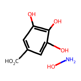 NO.O=C(O)c1cc(O)c(O)c(O)c1